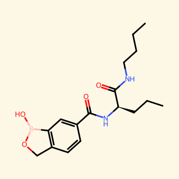 CCCCNC(=O)[C@@H](CCC)NC(=O)c1ccc2c(c1)B(O)OC2